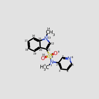 CN(c1cccnc1)S(=O)(=O)c1cn(C)c2ccccc12